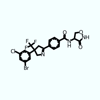 O=C(NC1CONC1=O)c1ccc(C2=NCC(c3cc(Cl)cc(Br)c3)(C(F)(F)F)C2)cc1